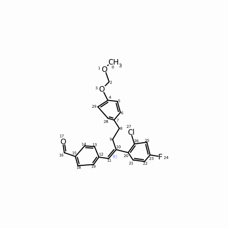 COCOc1ccc(CC/C(=C\c2ccc(C=O)cc2)c2ccc(F)cc2Cl)cc1